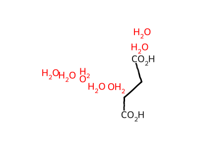 O.O.O.O.O.O.O.O=C(O)CCC(=O)O